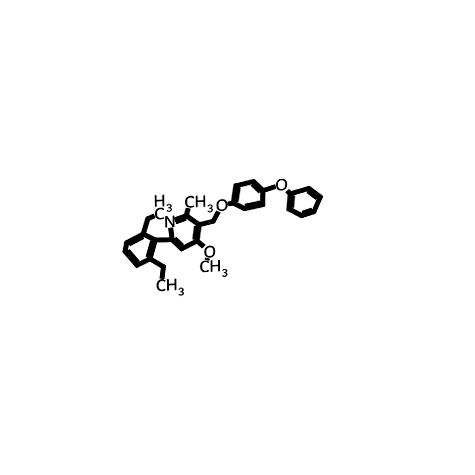 CCc1cccc(CC)c1-c1cc(OC)c(COc2ccc(Oc3ccccc3)cc2)c(C)n1